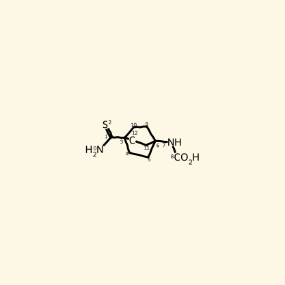 NC(=S)C12CCC(NC(=O)O)(CC1)CC2